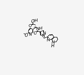 COc1ccc([C@H](CC(=O)O)NC(=O)c2cnn(Cc3ccc4c(n3)NCCC4)c2)cn1